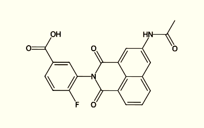 CC(=O)Nc1cc2c3c(cccc3c1)C(=O)N(c1cc(C(=O)O)ccc1F)C2=O